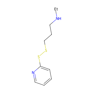 CCNCCCSSc1ccccn1